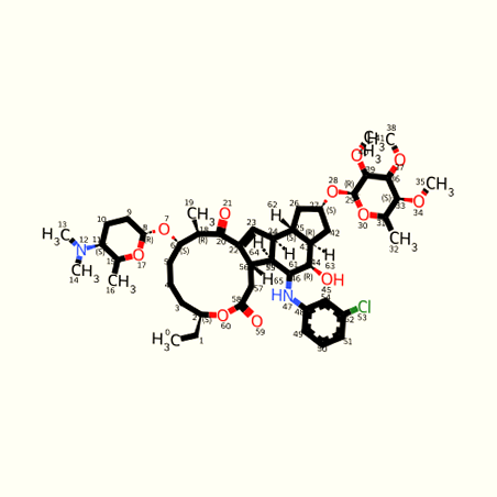 CC[C@H]1CCC[C@H](O[C@H]2CC[C@H](N(C)C)C(C)O2)[C@@H](C)C(=O)C2=C[C@H]3[C@@H]4C[C@H](O[C@@H]5OC(C)[C@H](OC)C(OC)C5OC)C[C@H]4[C@@H](O)C(Nc4cccc(Cl)c4)[C@H]3[C@@H]2CC(=O)O1